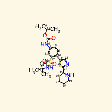 CC(C)OC(=O)Nc1ccc(-c2cnc(C3CCCCN3)s2)c(S(=O)(=O)NC(C)(C)C)c1